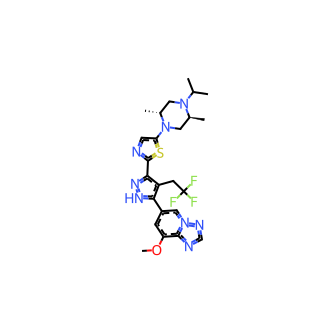 COc1cc(-c2[nH]nc(-c3ncc(N4C[C@H](C)N(C(C)C)C[C@H]4C)s3)c2CC(F)(F)F)cn2ncnc12